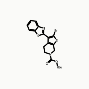 CC(C)(C)OC(=O)N1CCc2c(sc(Br)c2-c2nc3ccccc3s2)C1